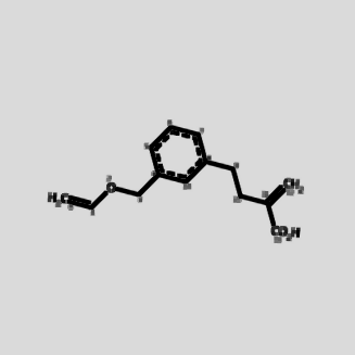 C=COCc1cccc(CCC(=C)C(=O)O)c1